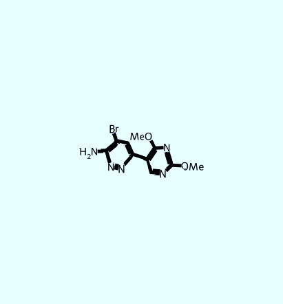 COc1ncc(-c2cc(Br)c(N)nn2)c(OC)n1